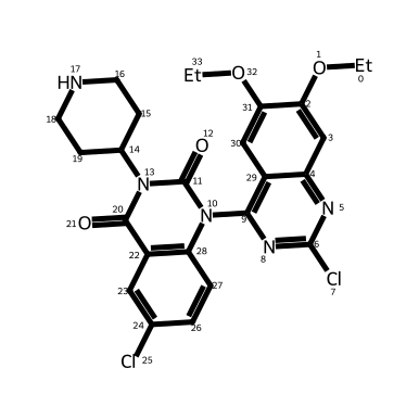 CCOc1cc2nc(Cl)nc(-n3c(=O)n(C4CCNCC4)c(=O)c4cc(Cl)ccc43)c2cc1OCC